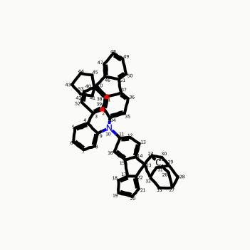 c1ccc(-c2ccccc2N(c2ccc3c(c2)-c2ccccc2C32C3CCC4CC(C3)CC2C4)c2ccc3c(c2)C2(CCCCC2)c2ccccc2-3)cc1